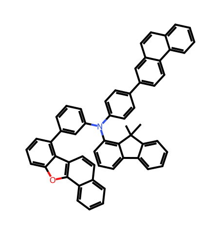 CC1(C)c2ccccc2-c2cccc(N(c3ccc(-c4ccc5c(ccc6ccccc65)c4)cc3)c3cccc(-c4cccc5oc6c7ccccc7ccc6c45)c3)c21